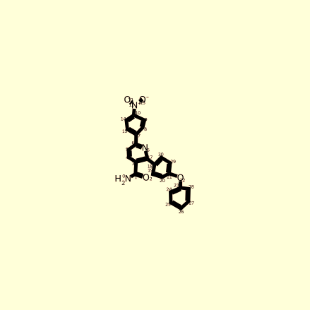 NC(=O)c1ccc(-c2ccc([N+](=O)[O-])cc2)nc1-c1ccc(Oc2ccccc2)cc1